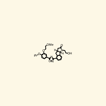 COCCOc1cc(-c2nc(-c3cccc4c3C[C@@H]3CC(=O)N(CCO)[C@H]43)no2)ccc1OC(C)C